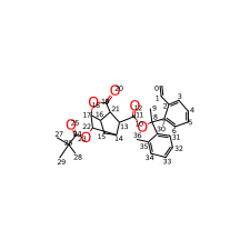 C=Cc1ccccc1C(C)(OC(=O)C1C2CC3C(OC(=O)C31)C2OC(=O)C(C)(C)C)c1ccccc1C